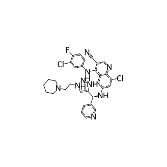 N#Cc1cnc2c(Cl)cc(N[C@H](C3=CN(CCN4CCCCC4)NN3)c3cccnc3)cc2c1Nc1ccc(F)c(Cl)c1